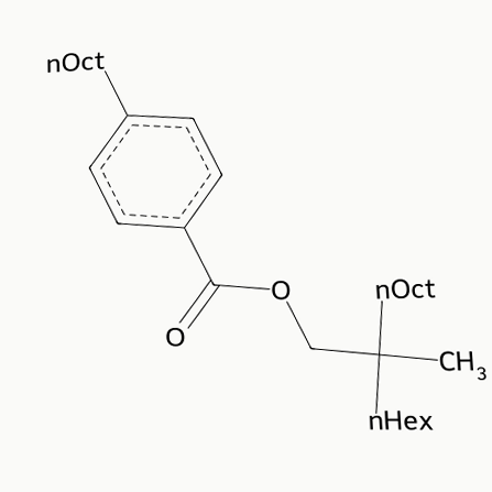 CCCCCCCCc1ccc(C(=O)OCC(C)(CCCCCC)CCCCCCCC)cc1